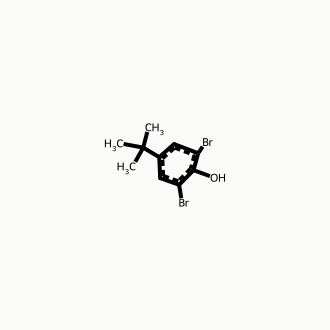 CC(C)(C)c1cc(Br)c(O)c(Br)c1